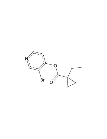 CCC1(C(=O)Oc2ccncc2Br)CC1